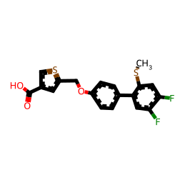 CSc1cc(F)c(F)cc1-c1ccc(OCc2cc(C(=O)O)cs2)cc1